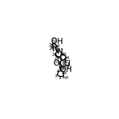 C[C@H]1CCC[C@](O)(CNC(=O)c2c(Cl)ccc3nc(N4CC[C@H](O)C4)ccc23)C1